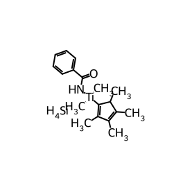 CC1=C(C)C(C)[C]([Ti]([CH3])([CH3])[NH]C(=O)c2ccccc2)=C1C.[SiH4]